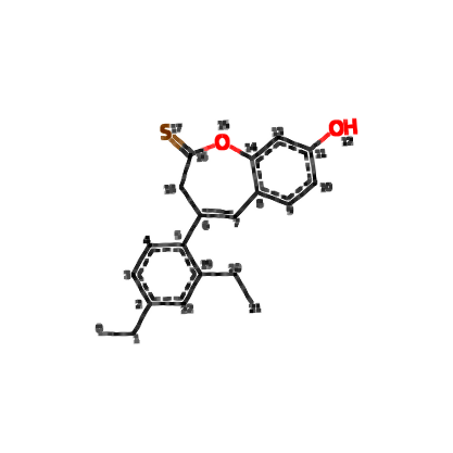 CCc1ccc(C2=Cc3ccc(O)cc3OC(=S)C2)c(CC)c1